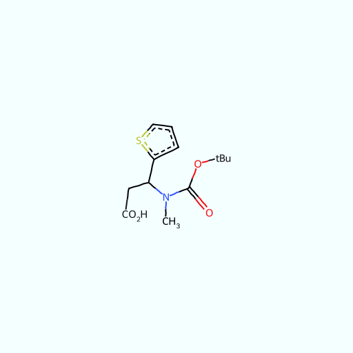 CN(C(=O)OC(C)(C)C)C(CC(=O)O)c1cccs1